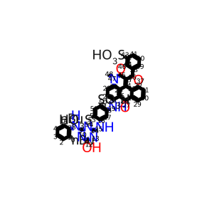 CCCCc1cccc(CCCC)c1Nc1nc(O)nc(Nc2cc(Nc3ccc4c5c3C(=O)c3ccccc3-c5c(C(=O)c3cccc(S(=O)(=O)O)c3)c(=O)n4C)c(S(=O)(=O)O)cc2S(=O)(=O)O)n1